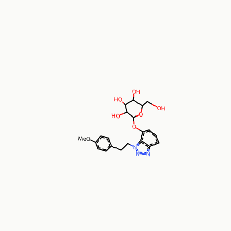 COc1ccc(CCn2nnc3cccc(OC4OC(CO)C(O)C(O)C4O)c32)cc1